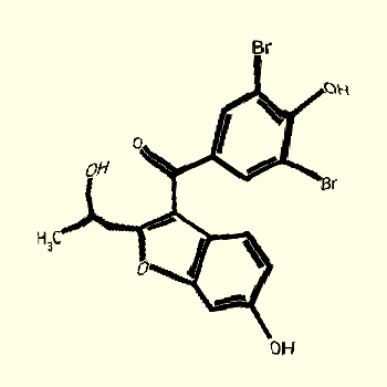 CC(O)c1oc2cc(O)ccc2c1C(=O)c1cc(Br)c(O)c(Br)c1